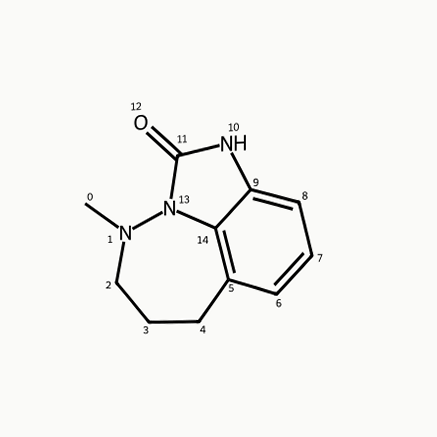 CN1CCCc2cccc3[nH]c(=O)n1c23